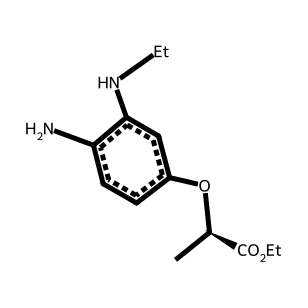 CCNc1cc(O[C@H](C)C(=O)OCC)ccc1N